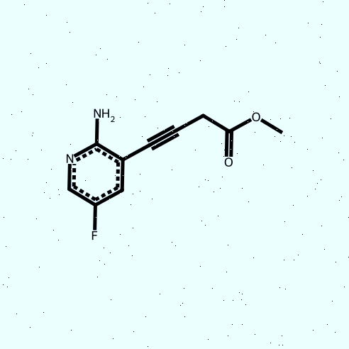 COC(=O)CC#Cc1cc(F)cnc1N